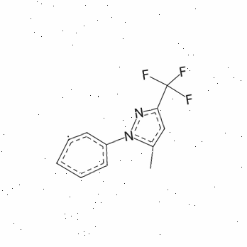 Cc1cc(C(F)(F)F)nn1-c1c[c]ccc1